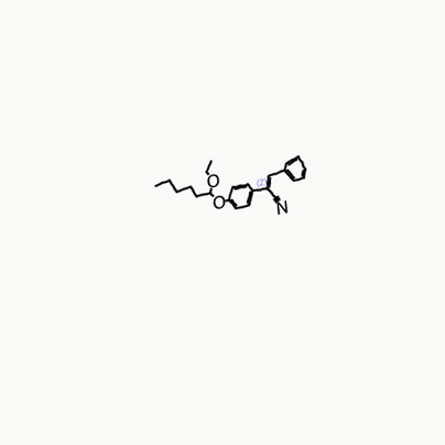 CCCCCC(OCC)Oc1ccc(/C(C#N)=C/c2ccccc2)cc1